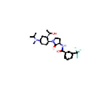 CC(O)[C@@H]1C[C@H](N(C)C(C)C)CC[C@@H]1N1CCC(NC(=O)c2cccc(C(F)(F)F)c2)C1=O